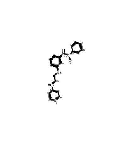 [O-][S+](Nc1cccc(OCCNc2ccncc2)c1)c1ccccc1